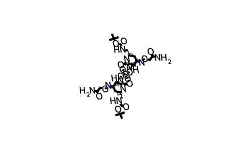 CC(C)(C)OC(=O)NC[C@@H]1C/C(=N\OCC(N)=O)[C@@H]2CN1C(=O)N2OS(=O)(=O)ON1C(=O)N2C[C@H]1/C(=N/OCC(N)=O)C[C@H]2CNC(=O)OC(C)(C)C